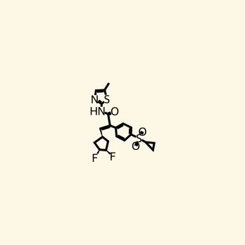 Cc1cnc(NC(=O)/C(=C/[C@H]2C[C@@H](F)[C@@H](F)C2)c2ccc(S(=O)(=O)C3CC3)cc2)s1